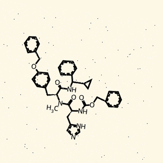 CN(C(=O)[C@H](Cc1cnc[nH]1)NC(=O)OCc1ccccc1)[C@@H](Cc1ccc(OCc2ccccc2)cc1)C(=O)NC(c1ccccc1)C1CC1